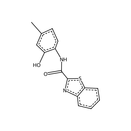 Cc1ccc(NC(=O)c2nc3ccccc3s2)c(O)c1